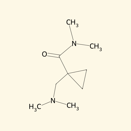 CN(C)CC1(C(=O)N(C)C)CC1